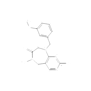 COc1cccc(CN2CC(=O)N(C)Cc3cnc(Cl)nc32)c1